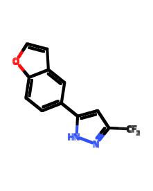 FC(F)(F)c1cc(-c2ccc3occc3c2)[nH]n1